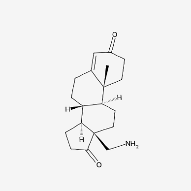 C[C@]12CCC(=O)C=C1CC[C@H]1[C@@H]3CCC(=O)[C@@]3(CN)CC[C@@H]12